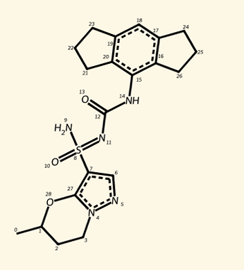 CC1CCn2ncc(S(N)(=O)=NC(=O)Nc3c4c(cc5c3CCC5)CCC4)c2O1